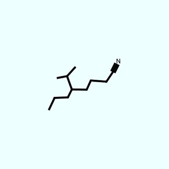 CCCC(CCCC#N)C(C)C